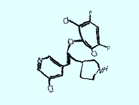 Fc1cc(F)c(Cl)c(O[C@H](c2cncc(Cl)c2)[C@@H]2CCNC2)c1Cl